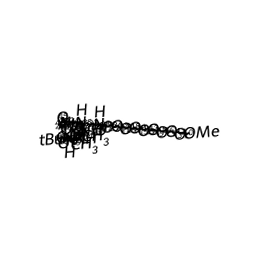 COCCOCCOCCOCCOCCOCCOCCOCCOCCOCC(=O)NCCCC[C@H](NC(=O)CCCN1C(=O)C=CC1=O)C(=O)N[C@@H](C)C(=O)N[C@@H](C)C(=O)NNC(=O)OC(C)(C)C